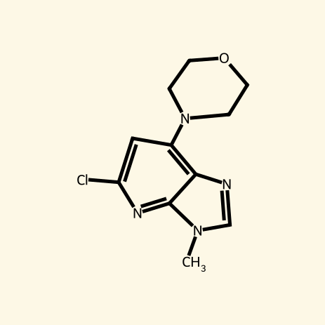 Cn1cnc2c(N3CCOCC3)cc(Cl)nc21